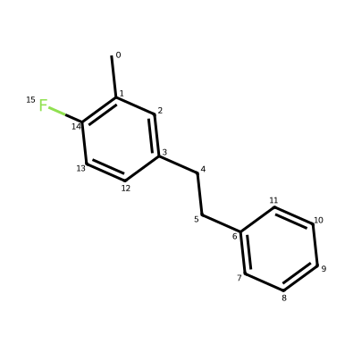 Cc1cc(CCc2ccccc2)ccc1F